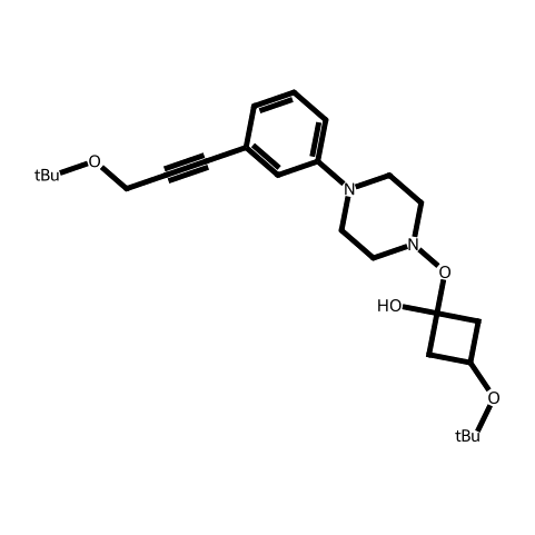 CC(C)(C)OCC#Cc1cccc(N2CCN(OC3(O)CC(OC(C)(C)C)C3)CC2)c1